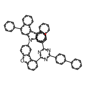 c1ccc(-c2ccc(-c3nc(-c4ccc5ccccc5c4)nc(-c4cccc5oc6ccc(-n7c8ccccc8c8c9ccccc9c(-c9ccccc9)cc87)cc6c45)n3)cc2)cc1